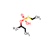 CCSP(=O)(O)OC(C)CC